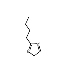 CCCCC1=NCC=N1